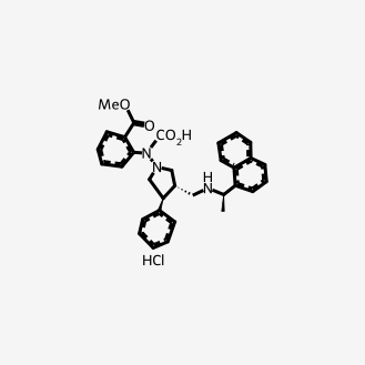 COC(=O)c1ccccc1N(C(=O)O)N1C[C@H](CN[C@H](C)c2cccc3ccccc23)[C@@H](c2ccccc2)C1.Cl